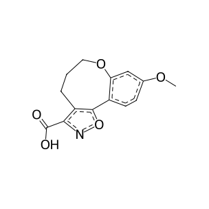 COc1ccc2c(c1)OCCCc1c(C(=O)O)noc1-2